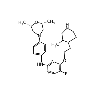 CC1CNCCC1CCOc1nc(Nc2ccc(N3C[C@@H](C)O[C@@H](C)C3)cc2)ncc1F